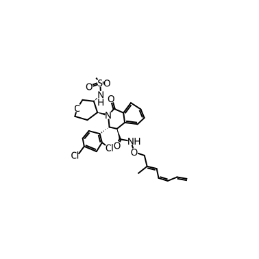 C=C/C=C\C=C(/C)CONC(=O)[C@@H]1c2ccccc2C(=O)N([C@H]2CCCC[C@@H]2NS(C)(=O)=O)[C@H]1c1ccc(Cl)cc1Cl